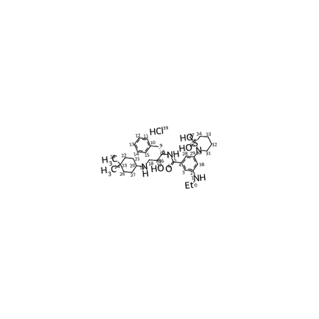 CCNc1cc(C(=O)N[C@@H](Cc2ccccc2)[C@H](O)CNC2CCC(C)(C)CC2)cc(N2CCCCS2(O)O)c1.Cl